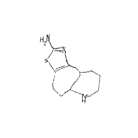 Nc1nc2c(s1)CCC1NCCCC21